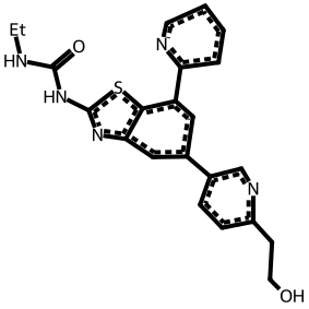 CCNC(=O)Nc1nc2cc(-c3ccc(CCO)nc3)cc(-c3ccccn3)c2s1